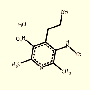 CCNc1c(C)nc(C)c([N+](=O)[O-])c1CCO.Cl